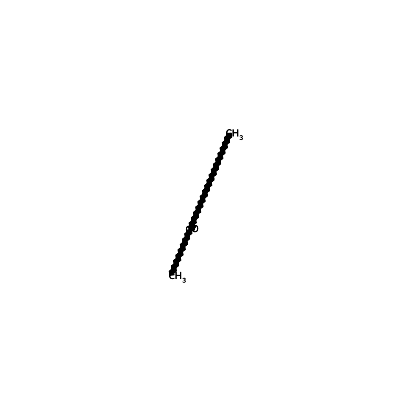 CCCCCCCCCCCCCCCCCCCCCCCCCCCCCCCCCCCC(=O)OCCCCCCCCCCCCCCCCC